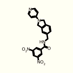 O=C(NCc1ccc2c(c1)CN(c1ccncc1)C2)c1cc([N+](=O)[O-])cc([N+](=O)[O-])c1